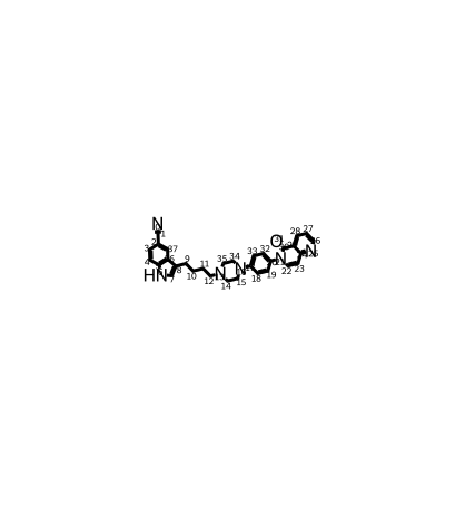 N#Cc1ccc2[nH]cc(CCCCN3CCN(c4ccc(-n5ccc6ncccc6c5=O)cc4)CC3)c2c1